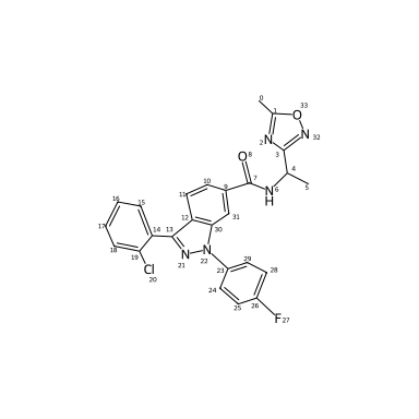 Cc1nc(C(C)NC(=O)c2ccc3c(-c4ccccc4Cl)nn(-c4ccc(F)cc4)c3c2)no1